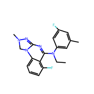 CCN(C1=NC2=NN(C)CN2c2cccc(F)c21)c1cc(C)cc(F)c1